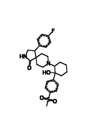 CS(=O)(=O)c1ccc(C2(O)CCCCC2N2CCC3(CC2)C(=O)NCC3c2ccc(F)cc2)cc1